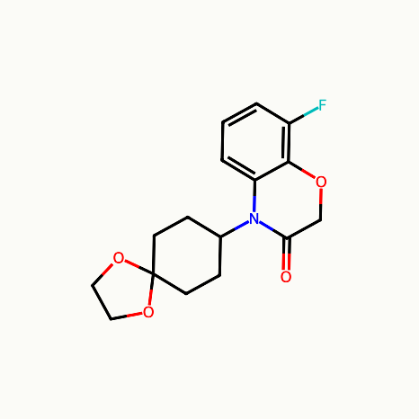 O=C1COc2c(F)cccc2N1C1CCC2(CC1)OCCO2